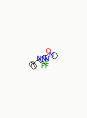 O=C(c1cc2nc(CC34CC5CC(CC(C5)C3)C4)cc(C(F)(F)F)n2n1)N1CCCCCC1